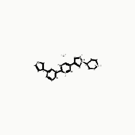 Cl.c1cc(-c2ccoc2)cc(-c2ncc(-c3cnn(C4CCNCC4)c3)cn2)c1